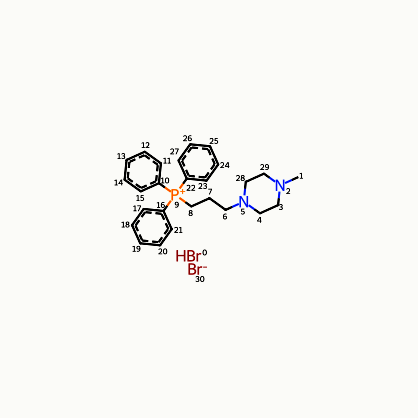 Br.CN1CCN(CCC[P+](c2ccccc2)(c2ccccc2)c2ccccc2)CC1.[Br-]